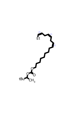 CC/C=C\C/C=C\C/C=C\CCCCCCCCOC(=O)OC(C)C(C)(C)C